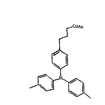 COCCCc1ccc(N(c2ccc(C)cc2)c2ccc(C)cc2)cc1